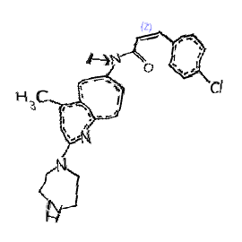 Cc1cc(N2CCNCC2)nc2ccc(NC(=O)/C=C\c3ccc(Cl)cc3)cc12